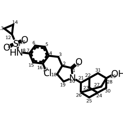 O=C1C(Cc2ccc(NS(=O)(=O)C3CC3)cc2Cl)CCN1C1C2CC3CC1CC(O)(C3)C2